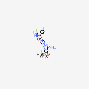 COc1cc2c(N)nc(N3CCN(C(=O)C[C@@H](NC(CF)CF)c4ccc(F)cc4)CC3)nc2c(F)c1OC